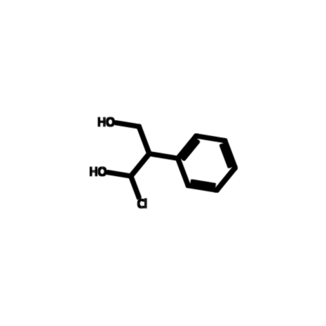 OCC(c1ccccc1)C(O)Cl